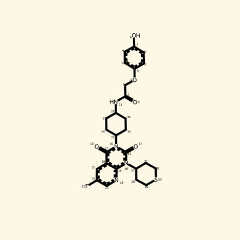 O=C(COc1ccc(O)cc1)NC1CCC(n2c(=O)c3cc(F)cnc3n(C3CCSCC3)c2=O)CC1